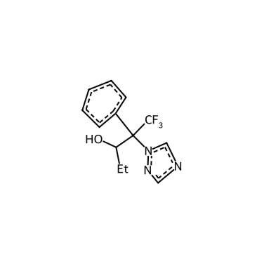 CCC(O)C(c1ccccc1)(n1cncn1)C(F)(F)F